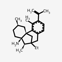 C=C(C)c1ccc2c(c1C)[C@@]13C[C@H](C)CC[C@@]1(N)[C@H](C)C(CC)(C2)C3